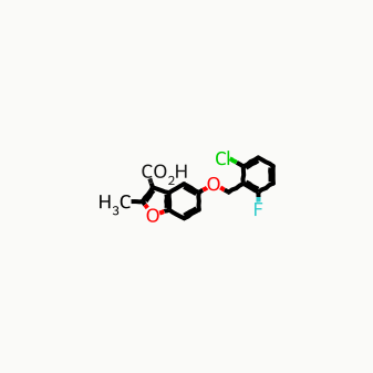 Cc1oc2ccc(OCc3c(F)cccc3Cl)cc2c1C(=O)O